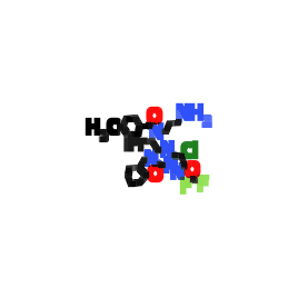 Cc1ccc(C(=O)N(CCCN)C(c2nc3c(Cl)c(OC(F)F)nn3c(=O)n2Cc2ccccc2)C(C)C)cc1